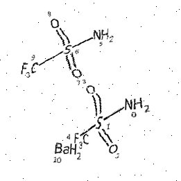 NS(=O)(=O)C(F)(F)F.NS(=O)(=O)C(F)(F)F.[BaH2]